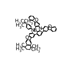 CC(C)(C)c1ccc(N2B3c4cc5c(cc4-n4c6cc7oc8ccccc8c7cc6c6ccc(c3c64)-c3cc4c(cc32)oc2cc3c(cc24)C(C)(C)CCC3(C)C)oc2ccccc25)cc1